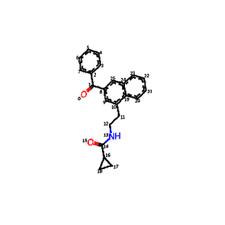 O=C(c1ccccc1)c1cc(CCNC(=O)C2CC2)c2ccccc2c1